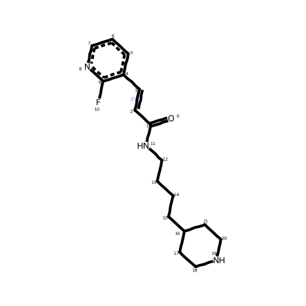 O=C(/C=C/c1cccnc1F)NCCCCC1CCNCC1